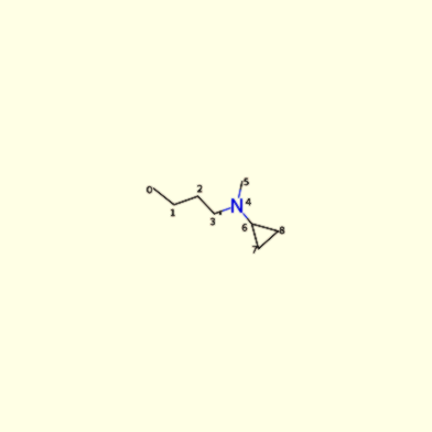 CCC[CH]N(C)C1CC1